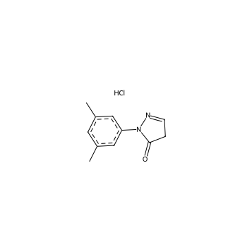 Cc1cc(C)cc(N2N=CCC2=O)c1.Cl